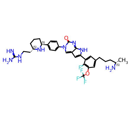 C[C@H](N)CCCc1cc(OC(F)(F)F)c(F)c(-c2cc3cn(-c4ccc([C@@H]5CCC[C@@H](CCNC(=N)N)N5)cc4)c(=O)nc3[nH]2)c1